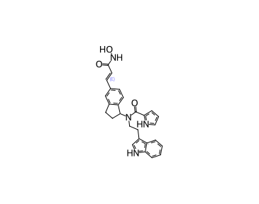 O=C(/C=C/c1ccc2c(c1)CCC2N(CCc1c[nH]c2ccccc12)C(=O)c1ccc[nH]1)NO